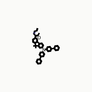 C=C/C=C\c1c(C)oc2c3c(ccc12)C(C)(C)c1cc(N(c2ccc(-c4ccccc4)cc2)c2ccc(-c4ccccc4)cc2)ccc1-3